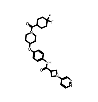 O=C(Nc1ccc(OC2CCN(C(=O)C3CCC(F)(F)CC3)CC2)cc1)C1CN(c2ccnnc2)C1